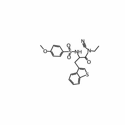 CCN(C#N)C(=O)C(Cc1csc2ccccc12)NS(=O)(=O)c1ccc(OC)cc1